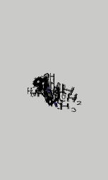 C=C(CC/C(=C\C)c1cccc(C(=N)/C(=C\N)C2NC(O)c3ccccc3N2C)c1)N(C)C